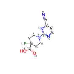 N#Cc1ccnc(N2CCC(F)(C(=O)O)CC2)n1